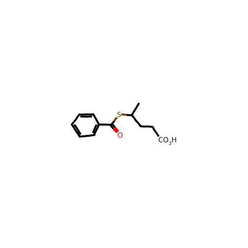 CC(CCC(=O)O)SC(=O)c1ccccc1